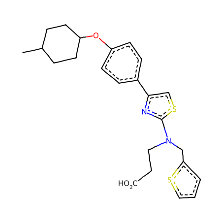 CC1CCC(Oc2ccc(-c3csc(N(CCC(=O)O)Cc4cccs4)n3)cc2)CC1